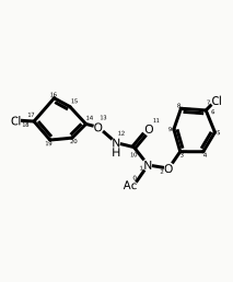 CC(=O)N(Oc1ccc(Cl)cc1)C(=O)NOc1ccc(Cl)cc1